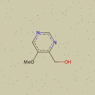 COc1cncnc1CO